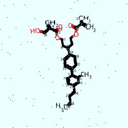 C=C(C)C(=O)OCCC(CCOC(=O)C(=C)CO)c1ccc(-c2ccc(CCCC)cc2C)cc1